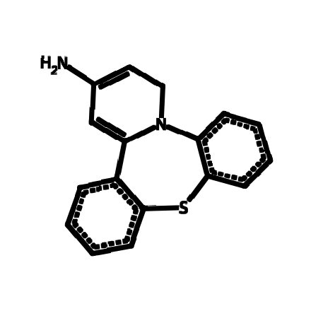 NC1=CCN2C(=C1)c1ccccc1Sc1ccccc12